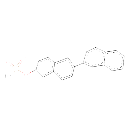 O=S(=O)(Oc1ccc2cc(-c3ccc4ccccc4c3)ccc2c1)C(F)(F)F